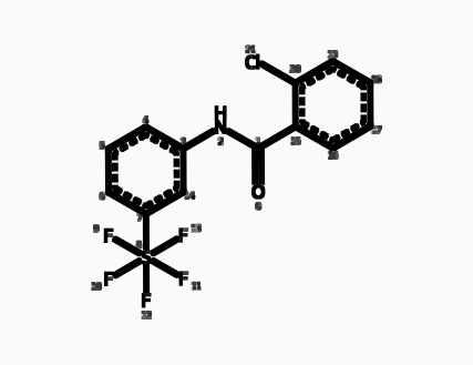 O=C(Nc1cccc(S(F)(F)(F)(F)F)c1)c1ccccc1Cl